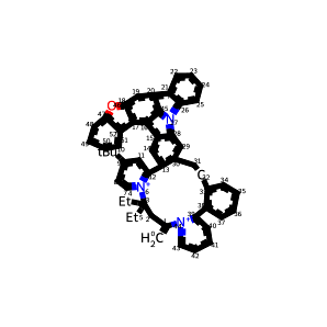 C=C1CC(CC)(CC)[n+]2ccc(C(C)(C)C)cc2-c2cc3c4c5c(cc6c7ccccc7n(c3cc2CCc2ccccc2-c2cccc[n+]21)c64)oc1ccccc15